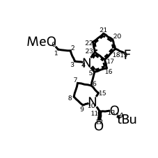 COCCCn1c(C2CCCN(C(=O)OC(C)(C)C)C2)cc2c(F)cccc21